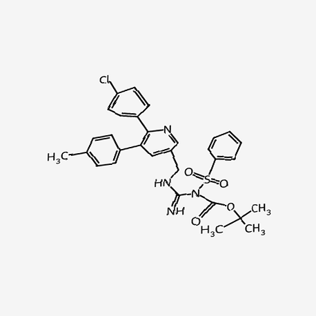 Cc1ccc(-c2cc(CNC(=N)N(C(=O)OC(C)(C)C)S(=O)(=O)c3ccccc3)cnc2-c2ccc(Cl)cc2)cc1